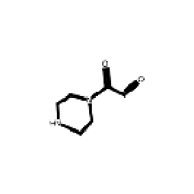 O=[C]C(=O)N1CCNCC1